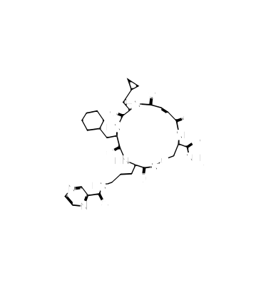 NC(=O)C1CCNC(=O)C(CCCNC(=O)c2cnccn2)NC(=O)C(CC2CCCCC2)NC(=O)C(CC2CC2)NC(=O)C=CC(=O)N1